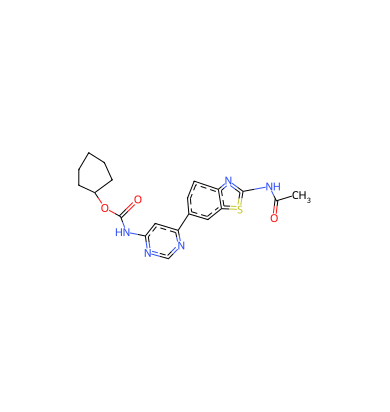 CC(=O)Nc1nc2ccc(-c3cc(NC(=O)OC4CCCCC4)ncn3)cc2s1